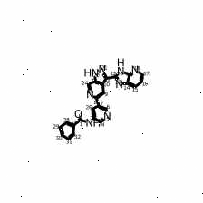 O=C(Nc1cncc(-c2cc3c(-c4nc5cccnc5[nH]4)n[nH]c3cn2)c1)c1ccccc1